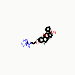 C[C@]12CC[C@H](OCCCNC(=N)N)C[C@H]1CC[C@@H]1[C@@H]2CC[C@]2(C)[C@@](O)(c3ccccc3)CC[C@]12O